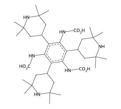 CC1(C)CC(c2c(NC(=O)O)c(C3CC(C)(C)NC(C)(C)C3)c(NC(=O)O)c(C3CC(C)(C)NC(C)(C)C3)c2NC(=O)O)CC(C)(C)N1